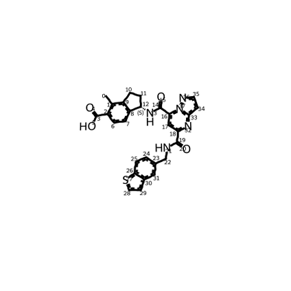 Cc1c(C(=O)O)ccc2c1CC[C@@H]2NC(=O)c1cc(C(=O)NCc2ccc3sccc3c2)nc2ccnn12